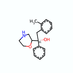 Cc1ccccc1C[C@@](O)(c1ccccc1)C1CNCCO1